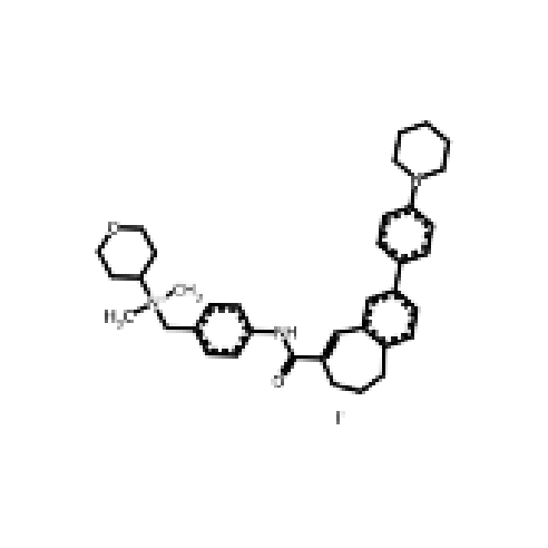 C[N+](C)(Cc1ccc(NC(=O)C2=Cc3cc(-c4ccc(N5CCCCC5)cc4)ccc3CCC2)cc1)C1CCOCC1.[I-]